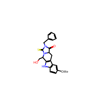 COc1ccc2[nH]c3c(c2c1)CC1C(=O)N(Cc2ccccc2)C(=S)N1C3CO